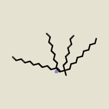 CCCCCCCCCC/C(=C/C(C)(CCCCCCCC)CCCCCCCCCC)CCCCCCCC